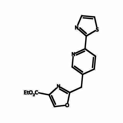 CCOC(=O)c1coc(Cc2ccc(-c3nccs3)nc2)n1